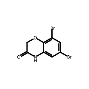 O=C1COc2c(Br)cc(Br)cc2N1